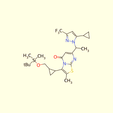 Cc1sc2nc(C(C)n3nc(C(F)(F)F)cc3C3CC3)cc(=O)n2c1C1CC1CO[Si](C)(C)C(C)(C)C